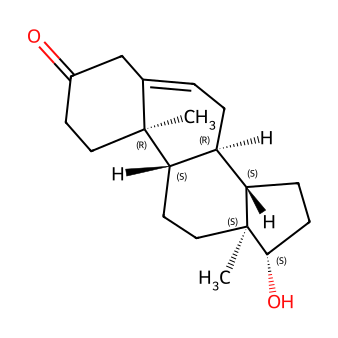 C[C@]12CC[C@H]3[C@@H](CC=C4CC(=O)CC[C@@]43C)[C@@H]1CC[C@@H]2O